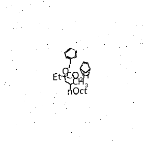 C1=CC2CCC1C2.CCCCCCCCC(C)CC(CC)(OCc1ccccc1)C(=O)O